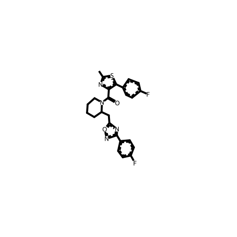 Cc1nc(C(=O)N2CCCCC2Cc2nc(-c3ccc(F)cc3)no2)c(-c2ccc(F)cc2)s1